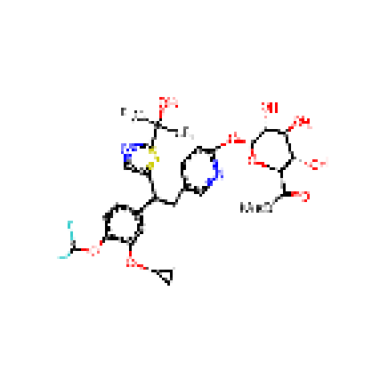 COC(=O)[C@H]1O[C@@H](Oc2ccc(CC(c3ccc(OC(F)F)c(OC4CC4)c3)c3cnc(C(O)(C(F)(F)F)C(F)(F)F)s3)cn2)[C@H](O)[C@@H](O)[C@@H]1O